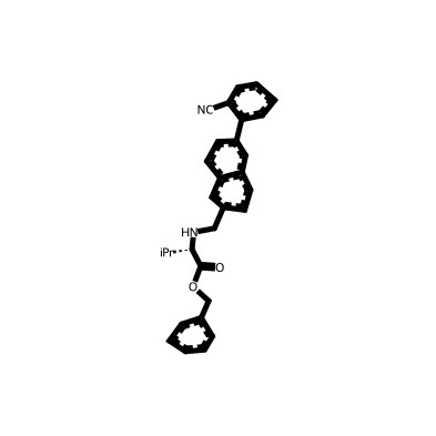 CC(C)[C@H](NCc1ccc2cc(-c3ccccc3C#N)ccc2c1)C(=O)OCc1ccccc1